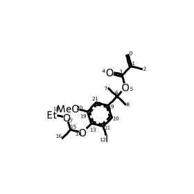 C=C(C)C(=O)OC(C)(C)c1cc(I)c(OC(C)OCC)c(OC)c1